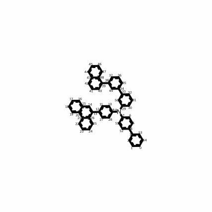 c1ccc(-c2ccc(N(c3ccc(-c4cc5ccccc5c5ccccc45)cc3)c3cccc(-c4cccc(-c5cccc6ccccc56)c4)c3)cc2)cc1